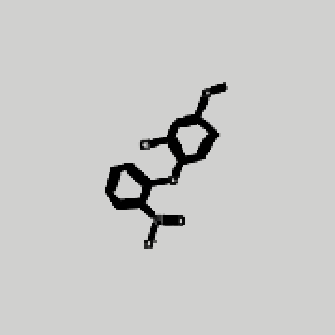 COc1ccc(Oc2ccccc2[N+](=O)[O-])c(Cl)c1